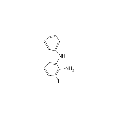 Nc1c(I)cccc1Nc1ccccc1